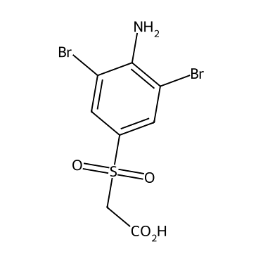 Nc1c(Br)cc(S(=O)(=O)CC(=O)O)cc1Br